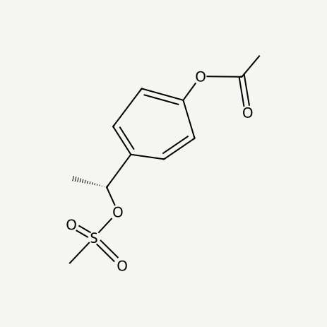 CC(=O)Oc1ccc([C@@H](C)OS(C)(=O)=O)cc1